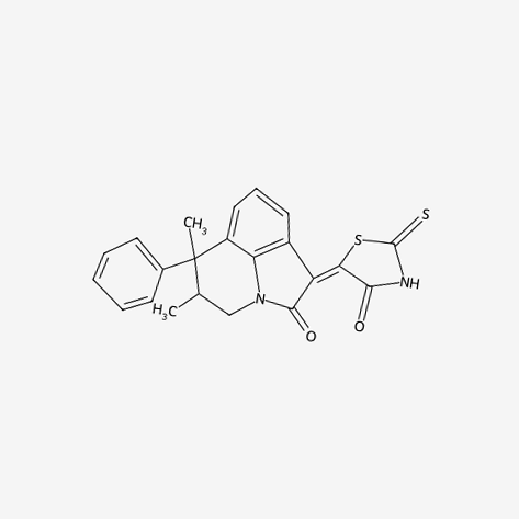 CC1CN2C(=O)C(=C3SC(=S)NC3=O)c3cccc(c32)C1(C)c1ccccc1